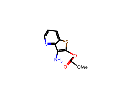 COC(=O)Oc1sc2cccnc2c1N